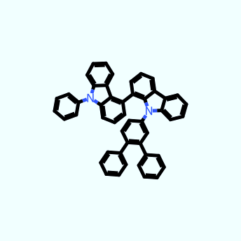 c1ccc(-c2ccc(-n3c4ccccc4c4cccc(-c5cccc6c5c5ccccc5n6-c5ccccc5)c43)cc2-c2ccccc2)cc1